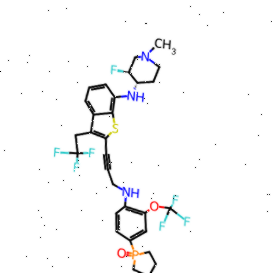 CN1CC[C@H](Nc2cccc3c(CC(F)(F)F)c(C#CCNc4ccc(P5(=O)CCCC5)cc4OC(F)(F)F)sc23)[C@@H](F)C1